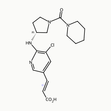 O=C(O)/C=C/c1cnc(N[C@@H]2CCN(C(=O)N3CCCCC3)C2)c(Cl)c1